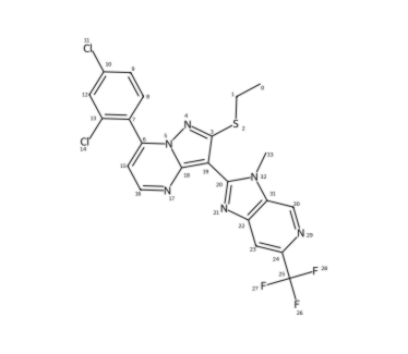 CCSc1nn2c(-c3ccc(Cl)cc3Cl)ccnc2c1-c1nc2cc(C(F)(F)F)ncc2n1C